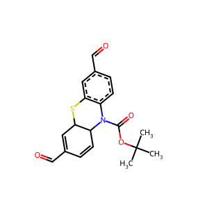 CC(C)(C)OC(=O)N1c2ccc(C=O)cc2SC2C=C(C=O)C=CC21